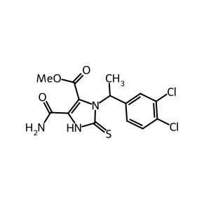 COC(=O)c1c(C(N)=O)[nH]c(=S)n1C(C)c1ccc(Cl)c(Cl)c1